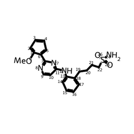 COc1ccccc1-c1nccc(Nc2ccccc2CCCCS(N)(=O)=O)n1